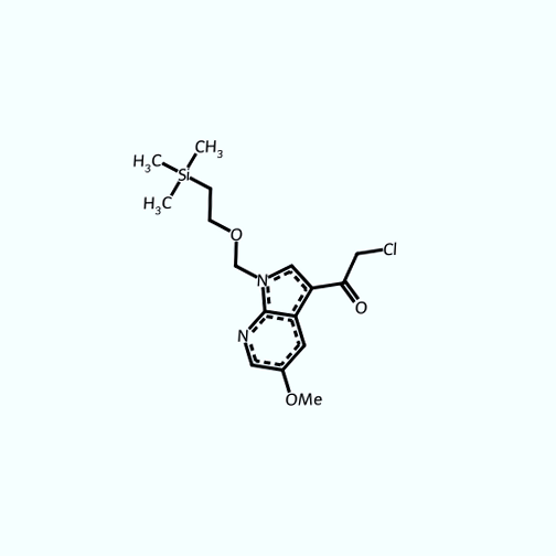 COc1cnc2c(c1)c(C(=O)CCl)cn2COCC[Si](C)(C)C